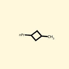 CCCC1[CH]C(C)C1